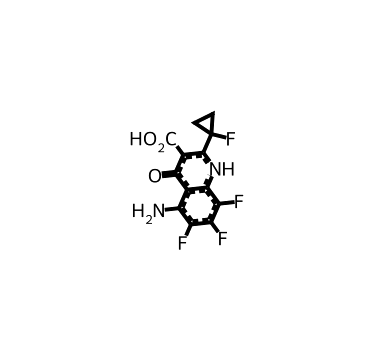 Nc1c(F)c(F)c(F)c2[nH]c(C3(F)CC3)c(C(=O)O)c(=O)c12